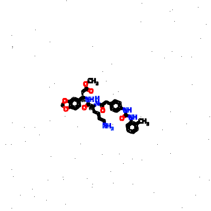 COC(=O)C[C@H](NC(=O)[C@H](CCCCN)NC(=O)Cc1ccc(NC(=O)Nc2ccccc2C)cc1)c1ccc2c(c1)OCO2